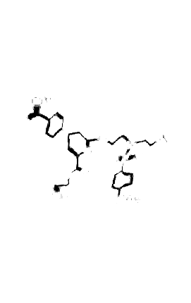 C=CCOC(=O)C1=C[C@H](c2ccc(C(=O)OC)cc2)CC(OCCN(CCO)S(=O)(=O)c2ccc(OC)cc2)O1